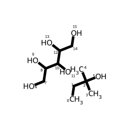 CCC(C)(C)O.OCC(O)C(O)C(O)CO